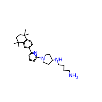 CC1(C)CCC(C)(C)c2cc(-c3cccc(N4CCC(NCCCCN)CC4)n3)ccc21